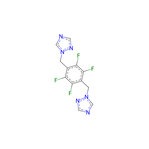 Fc1c(F)c(Cn2cncn2)c(F)c(F)c1Cn1cncn1